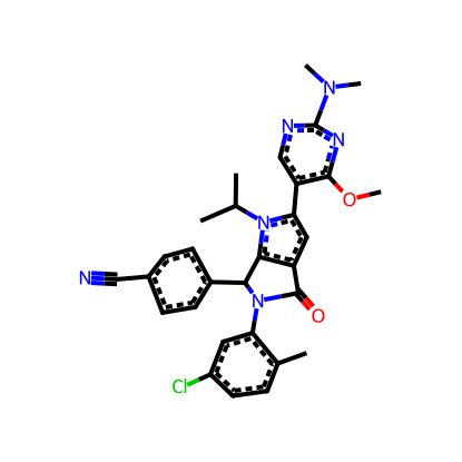 COc1nc(N(C)C)ncc1-c1cc2c(n1C(C)C)C(c1ccc(C#N)cc1)N(c1cc(Cl)ccc1C)C2=O